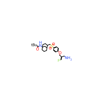 CC(C)(C)C(=O)NC12CCCC(C1)C(CS(=O)(=O)c1ccc(OC/C(=C\F)CN)cc1)CC2